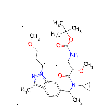 COCCCn1nc(C)c2ccc(C(C)N(C(=O)C(CNC(=O)OC(C)(C)C)OC)C3CC3)cc21